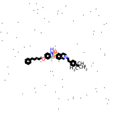 CC(C)(C)c1ccc(CCN2CCc3cc(S(=O)(=O)Nc4ccc(OCCCCCc5ccccc5)cc4F)ccc3C2)cc1